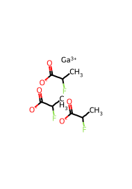 CC(F)C(=O)[O-].CC(F)C(=O)[O-].CC(F)C(=O)[O-].[Ga+3]